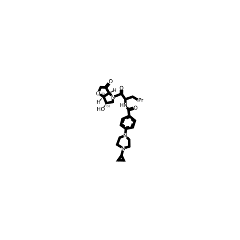 CC(C)CC(NC(=O)c1ccc(N2CCN(C3CC3)CC2)cc1)C(=O)N1C[C@H](O)[C@H]2OCC(=O)[C@H]21